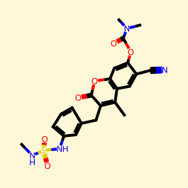 CNS(=O)(=O)Nc1cccc(Cc2c(C)c3cc(C#N)c(OC(=O)N(C)C)cc3oc2=O)c1